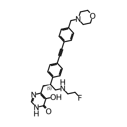 O=c1[nH]cnc(C[C@H](CNCCF)c2ccc(C#Cc3ccc(CN4CCOCC4)cc3)cc2)c1O